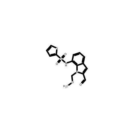 COCn1c(C=O)cc2cccc(NS(=O)(=O)c3cccs3)c21